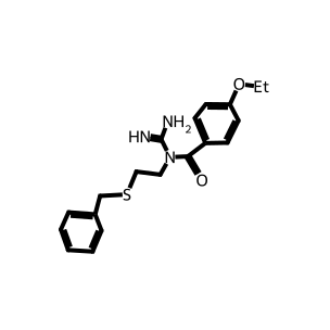 CCOc1ccc(C(=O)N(CCSCc2ccccc2)C(=N)N)cc1